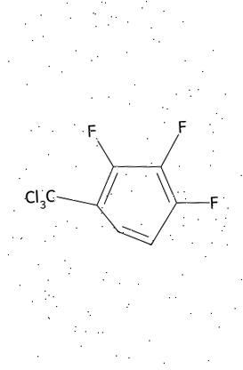 Fc1ccc(C(Cl)(Cl)Cl)c(F)c1F